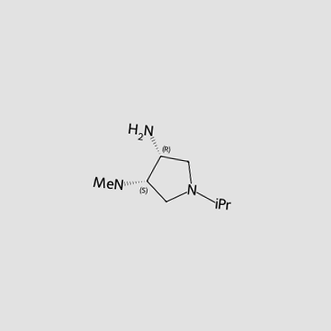 CN[C@H]1CN(C(C)C)C[C@H]1N